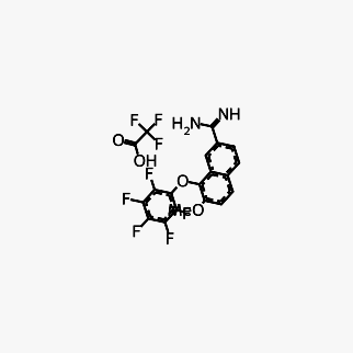 COc1ccc2ccc(C(=N)N)cc2c1Oc1c(F)c(F)c(F)c(F)c1F.O=C(O)C(F)(F)F